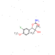 CC(C)(O)C(OC(N)=O)c1ccc(OC(F)(F)F)c(F)c1